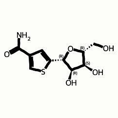 NC(=O)c1csc([C@@H]2O[C@H](CO)[C@@H](O)[C@H]2O)c1